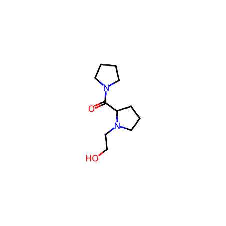 O=C(C1CCCN1CCO)N1CCCC1